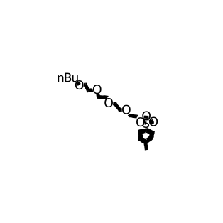 CCCCOCCOCCOCCOCCOS(=O)(=O)c1ccc(C)cc1